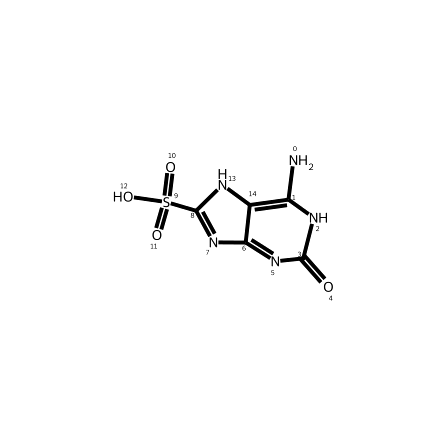 Nc1[nH]c(=O)nc2nc(S(=O)(=O)O)[nH]c12